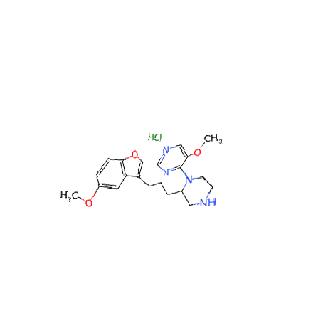 COc1ccc2occ(CCCC3CNCCN3c3ncncc3OC)c2c1.Cl